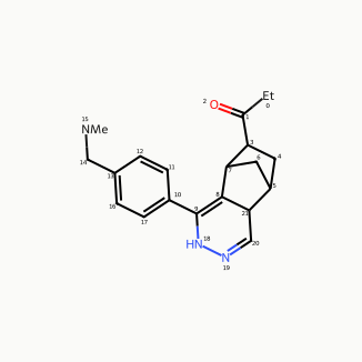 CCC(=O)C1CC2CC1C1=C(c3ccc(CNC)cc3)NN=CC12